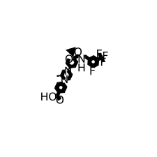 C[C@H]1CN([C@@H]2CC[C@@](C(=O)NCc3cc(F)cc(C(F)(F)F)c3)(C3CC3)OC2)CCN1c1ccc(C(=O)O)cc1